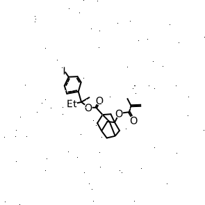 C=C(C)C(=O)OC12CC3CC(C1)CC(C(=O)OC(C)(CC)c1ccc(I)cc1)(C3)C2